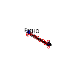 CC(C)C(C=O)N(C)C(=O)CCOCCOCCOCCOCCOCCOCCN1C(=O)C=CC1=O